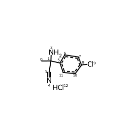 CC(N)(C#N)c1ccc(Cl)cc1.Cl